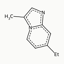 [CH2]Cc1ccn2c(C)cnc2c1